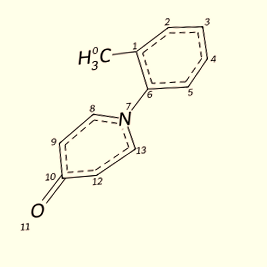 Cc1ccccc1-n1ccc(=O)cc1